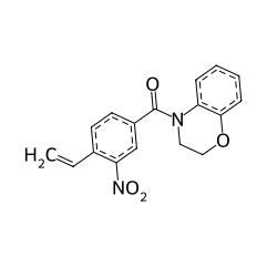 C=Cc1ccc(C(=O)N2CCOc3ccccc32)cc1[N+](=O)[O-]